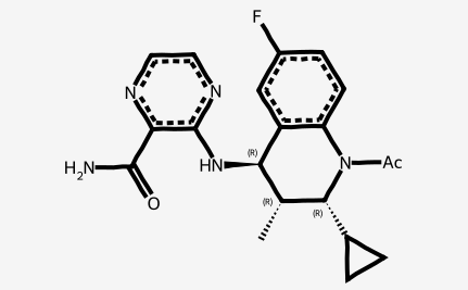 CC(=O)N1c2ccc(F)cc2[C@H](Nc2nccnc2C(N)=O)[C@@H](C)[C@H]1C1CC1